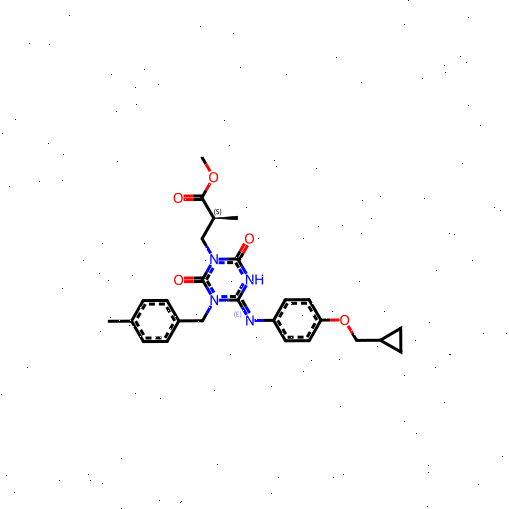 COC(=O)[C@@H](C)Cn1c(=O)[nH]/c(=N\c2ccc(OCC3CC3)cc2)n(Cc2ccc(C)cc2)c1=O